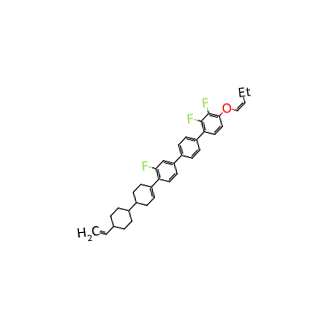 C=CC1CCC(C2CC=C(c3ccc(-c4ccc(-c5ccc(O/C=C\CC)c(F)c5F)cc4)cc3F)CC2)CC1